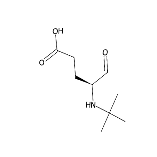 CC(C)(C)N[C@H](C=O)CCC(=O)O